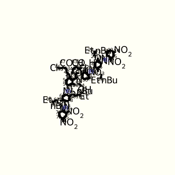 CCCCC(CC)COc1cc(/N=N/c2ccc([N+](=O)[O-])cc2[N+](=O)[O-])c(OCC(CC)CCCC)cc1/N=N/c1ccc(N(CCO)C(CO)c2c(N(CCC(CCl)C(=O)O)CCC(CCl)C(=O)O)ccc(/N=N/c3cc(OCC(CC)CCCC)c(/N=N/c4ccc([N+](=O)[O-])cc4[N+](=O)[O-])cc3OCC(CC)CCCC)c2C)cc1C